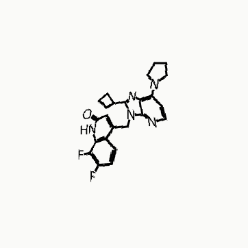 O=c1cc(Cn2c(C3CCC3)nc3c(N4CCCC4)ccnc32)c2ccc(F)c(F)c2[nH]1